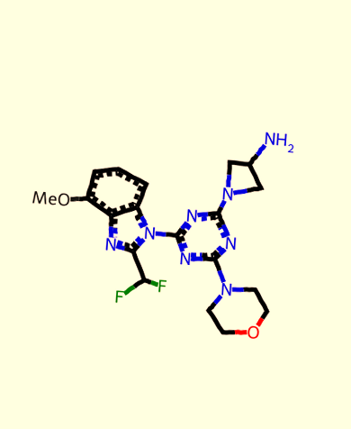 COc1cccc2c1nc(C(F)F)n2-c1nc(N2CCOCC2)nc(N2CC(N)C2)n1